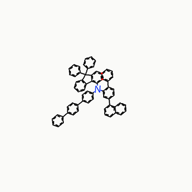 c1ccc(-c2ccc(-c3ccc(N(c4cc(-c5cccc6ccccc56)ccc4-c4ccccc4)c4cccc5c4-c4ccccc4C5(c4ccccc4)c4ccccc4)cc3)cc2)cc1